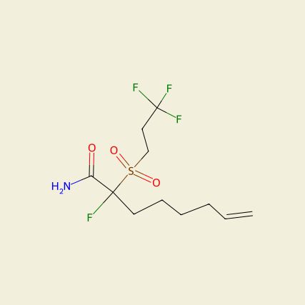 C=CCCCCC(F)(C(N)=O)S(=O)(=O)CCC(F)(F)F